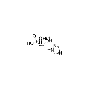 Cl.O=P(O)(O)CC(O)Cn1cncn1